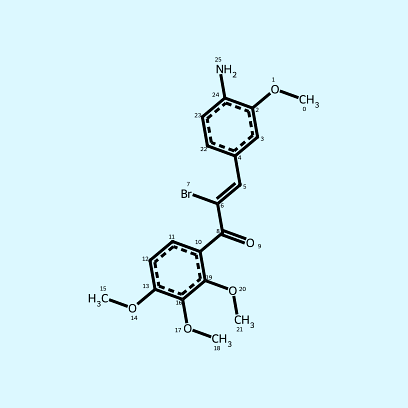 COc1cc(C=C(Br)C(=O)c2ccc(OC)c(OC)c2OC)ccc1N